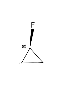 F[C@@H]1[CH]C1